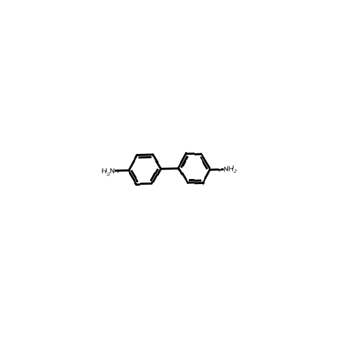 Nc1[c]cc(-c2ccc(N)cc2)cc1